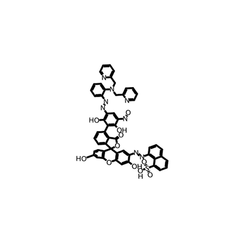 O=Nc1cc(/N=N/c2ccccc2N(Cc2ccccn2)Cc2ccccn2)c(O)c(-c2cccc3c2C(=O)OC32c3ccc(O)cc3Oc3cc(O)c(/N=N/c4cccc5cccc(S(=O)(=O)O)c45)cc32)c1O